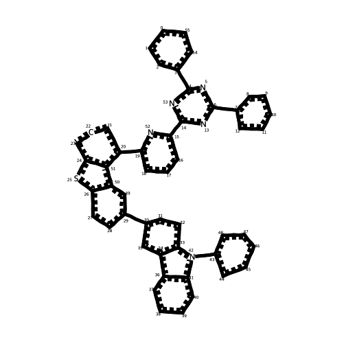 c1ccc(-c2nc(-c3ccccc3)nc(-c3cccc(-c4cccc5sc6ccc(-c7ccc8c(c7)c7ccccc7n8-c7ccccc7)cc6c45)n3)n2)cc1